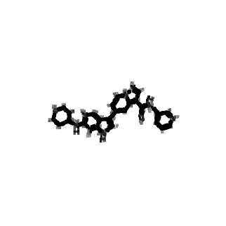 O=C(Nc1cccnc1)c1cnn2ccc(-c3c[nH]c4nc(NC5CCOCC5)ncc34)cc12